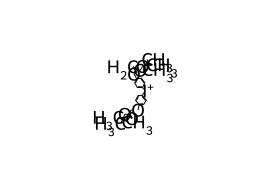 C=C(OOC(C)(C)C)Oc1ccc([I+]c2ccc(OCC(=O)OC(C)(C)C)cc2)cc1